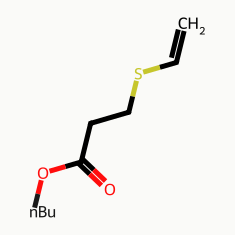 C=CSCCC(=O)OCCCC